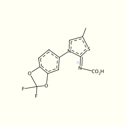 Cc1cn(-c2ccc3c(c2)OC(F)(F)O3)/c(=N/C(=O)O)s1